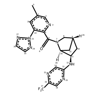 Cc1cnc(C(=O)N2C[C@@H]3C[C@@H](Nc4cnc(C(F)(F)F)cn4)[C@@H]2C3)c(-n2nccn2)c1